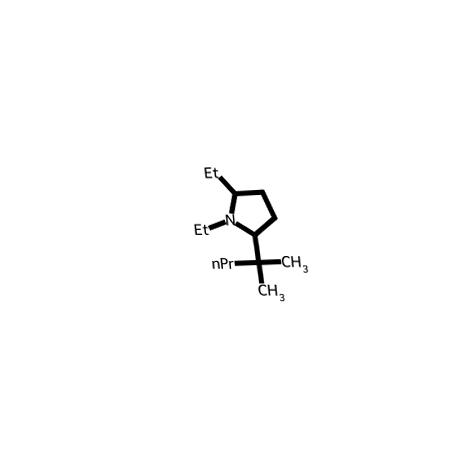 CCCC(C)(C)C1CCC(CC)N1CC